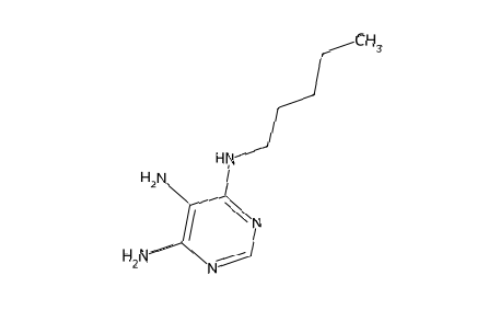 CCCCCNc1ncnc(N)c1N